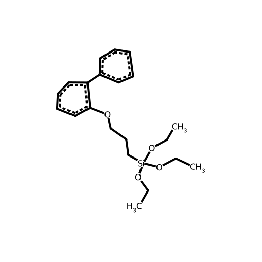 CCO[Si](CCCOc1ccccc1-c1ccccc1)(OCC)OCC